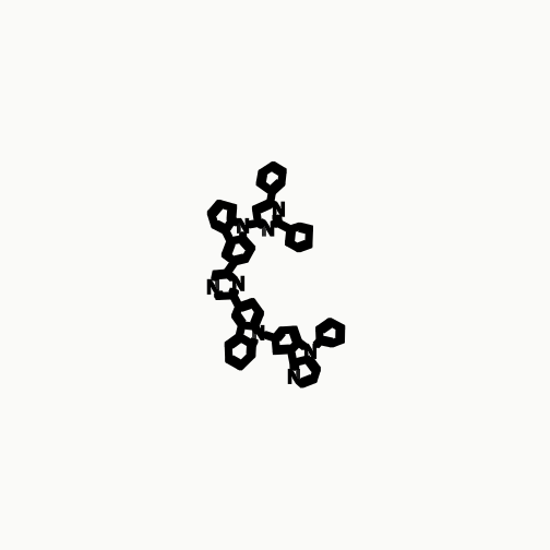 c1ccc(-c2cc(-n3c4ccccc4c4cc(-c5cncc(-c6ccc7c(c6)c6ccccc6n7-c6ccc7c(c6)c6ncccc6n7-c6ccccc6)n5)ccc43)nc(-c3ccccc3)n2)cc1